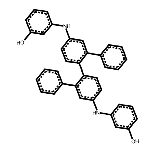 Oc1cccc(Nc2ccc(-c3ccc(Nc4cccc(O)c4)cc3-c3ccccc3)c(-c3ccccc3)c2)c1